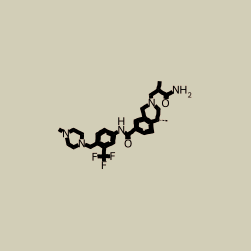 CC(CN1Cc2cc(C(=O)Nc3ccc(CN4CCN(C)CC4)c(C(F)(F)F)c3)ccc2[C@@H](C)C1)C(N)=O